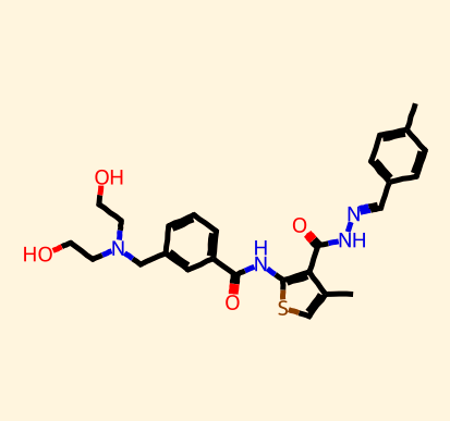 Cc1ccc(C=NNC(=O)c2c(C)csc2NC(=O)c2cccc(CN(CCO)CCO)c2)cc1